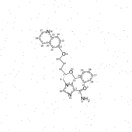 NC(=O)c1cn(C[C@H](CCCOc2ccc3ncccc3c2)OCc2ccccc2)cn1